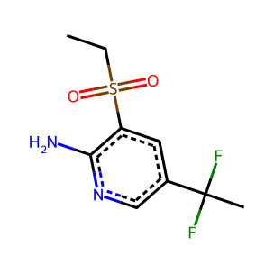 CCS(=O)(=O)c1cc(C(C)(F)F)cnc1N